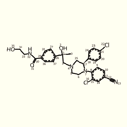 C[C@@](O)(CN1CCN(c2ccc(C#N)cc2Cl)[C@H](c2ccc(Cl)cc2)C1)c1ccc(C(=O)NCCO)cc1